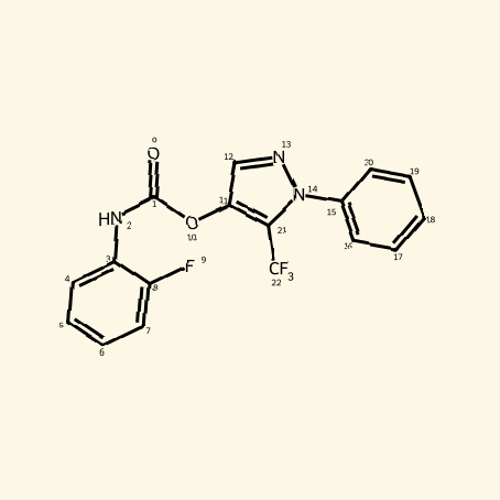 O=C(Nc1ccccc1F)Oc1cnn(-c2ccccc2)c1C(F)(F)F